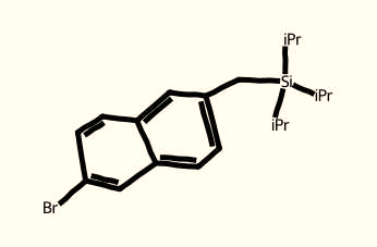 CC(C)[Si](Cc1ccc2cc(Br)ccc2c1)(C(C)C)C(C)C